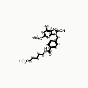 CCCCOc1nc(N)c2nc(O)n(Cc3ccc(C(=O)NCCCCCC(=O)O)cc3)c2n1